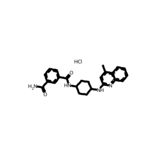 Cc1cc(NC2CCC(NC(=O)c3cccc(C(N)=O)c3)CC2)nc2ccccc12.Cl